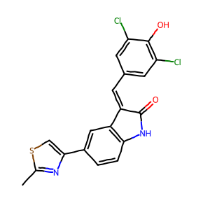 Cc1nc(-c2ccc3c(c2)C(=Cc2cc(Cl)c(O)c(Cl)c2)C(=O)N3)cs1